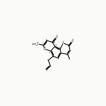 C=CCc1cc2c(C)cc(=O)oc2c2c(=O)cc(C(=O)O)oc12